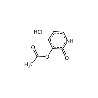 CC(=O)Oc1ccc[nH]c1=O.Cl